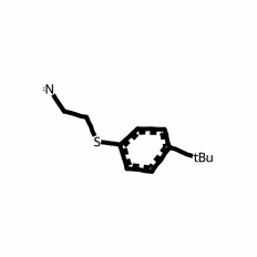 CC(C)(C)c1ccc(SCC[N])cc1